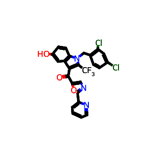 O=C(c1cnc(-c2ccccn2)o1)c1c(C(F)(F)F)n(Cc2ccc(Cl)cc2Cl)c2ccc(O)cc12